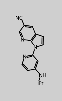 CC(C)Nc1ccnc(-n2ccc3cc(C#N)cnc32)c1